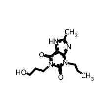 CCCn1c(=O)n(CCCO)c(=O)c2[nH]c(C)nc21